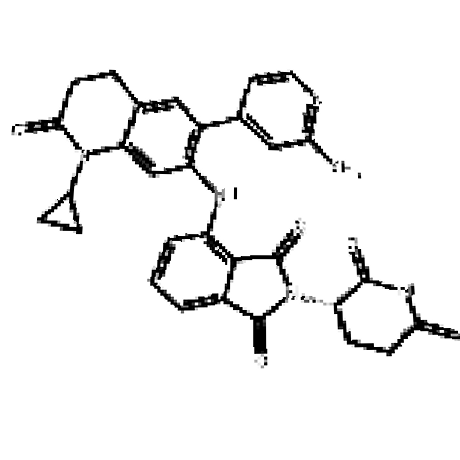 Cc1cc(-c2cc3c(cc2Nc2cccc4c2C(=O)N([C@H]2CCC(=O)NC2=O)C4=O)N(C2CC2)C(=O)CC3)ccn1